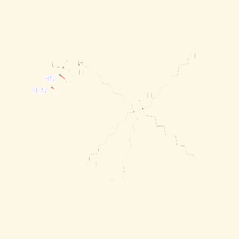 CCC(Br)(CC)C(=O)NC(N)=O.CCCCCCCCCCC(CC)(CCCCCCCCCC)C(CCCCCCCCCC)(CCCCCCCCCC)CCCCCCCCCC